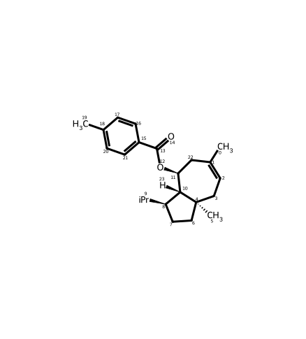 CC1=CC[C@@]2(C)CC[C@@H](C(C)C)[C@@H]2[C@@H](OC(=O)c2ccc(C)cc2)C1